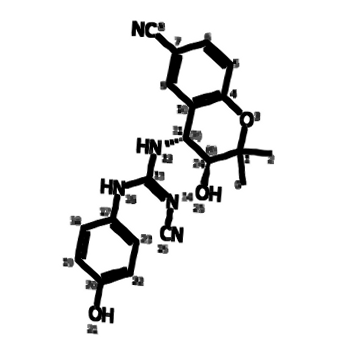 CC1(C)Oc2ccc(C#N)cc2[C@@H](NC(=NC#N)Nc2ccc(O)cc2)[C@@H]1O